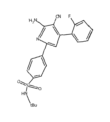 CC(C)(C)NS(=O)(=O)c1ccc(-c2cc(-c3ccccc3F)c(C#N)c(N)n2)cc1